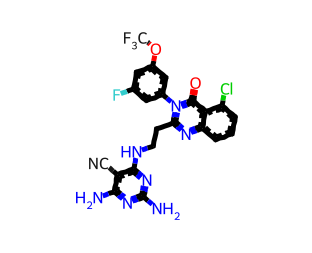 N#Cc1c(N)nc(N)nc1NCCc1nc2cccc(Cl)c2c(=O)n1-c1cc(F)cc(OC(F)(F)F)c1